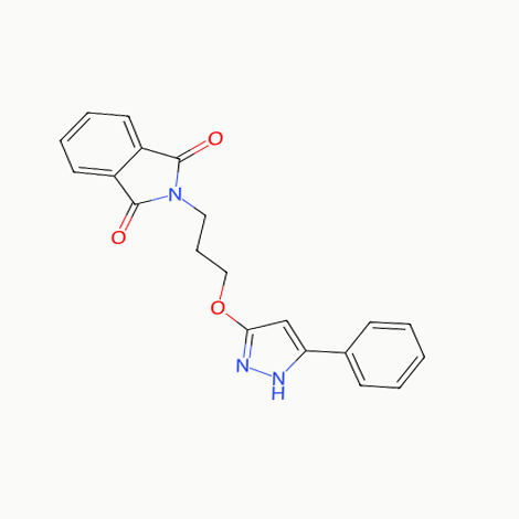 O=C1c2ccccc2C(=O)N1CCCOc1cc(-c2ccccc2)[nH]n1